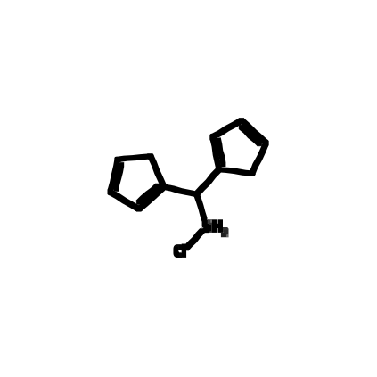 Cl[SiH2]C(C1=CC=CC1)C1=CC=CC1